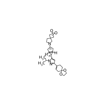 CC(C)n1nc(C2=CCC3(CC2)OCCO3)cc1[C@H]1[C@@H]2C[C@@H](N3CCC4(C3)CS(=O)(=O)C4)C[C@@H]21